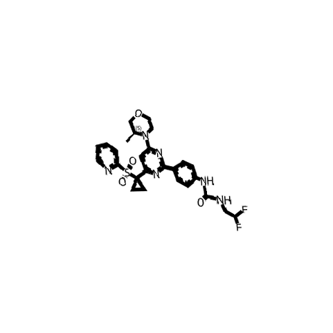 C[C@H]1COCCN1c1cc(C2(S(=O)(=O)c3ccccn3)CC2)nc(-c2ccc(NC(=O)NCC(F)F)cc2)n1